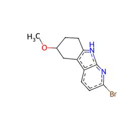 COC1CCc2[nH]c3nc(Br)ccc3c2C1